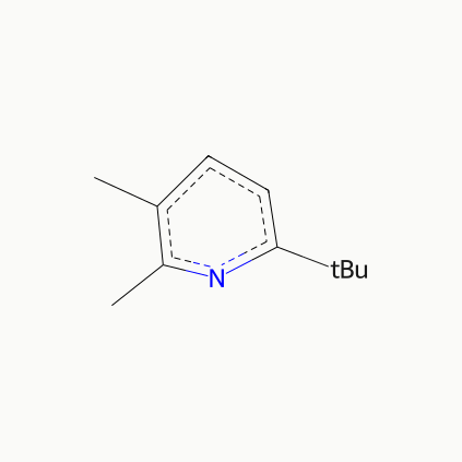 Cc1ccc(C(C)(C)C)nc1C